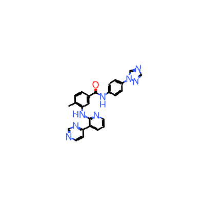 Cc1ccc(C(=O)Nc2ccc(-n3cncn3)cc2)cc1Nc1ncccc1-c1ccncn1